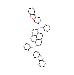 c1ccc2c(c1)Oc1cc3c(cc1N2c1ccc2ccc4c(N5c6ccccc6Oc6cc7c(cc65)oc5ccccc57)ccc5ccc1c2c54)oc1ccccc13